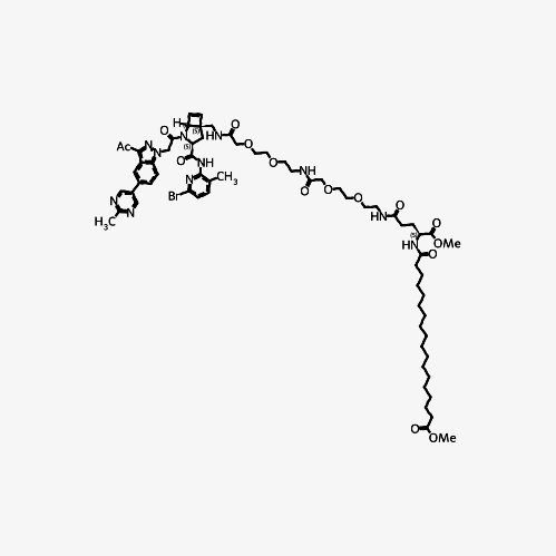 COC(=O)CCCCCCCCCCCCCCCCC(=O)N[C@@H](CCC(=O)NCCOCCOCC(=O)NCCOCCOCC(=O)NC[C@]12C=C[C@H]1N(C(=O)Cn1nc(C(C)=O)c3cc(-c4cnc(C)nc4)ccc31)[C@H](C(=O)Nc1nc(Br)ccc1C)C2)C(=O)OC